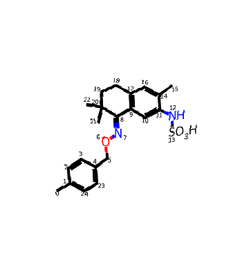 Cc1ccc(CO/N=C2/c3cc(NS(=O)(=O)O)c(C)cc3CCC2(C)C)cc1